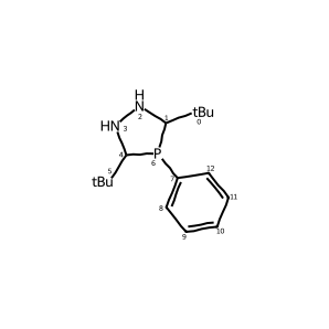 CC(C)(C)C1NNC(C(C)(C)C)P1c1ccccc1